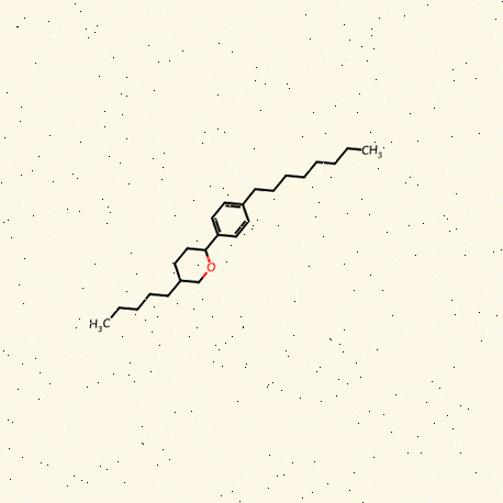 CCCCCCCCc1ccc(C2CCC(CCCCC)CO2)cc1